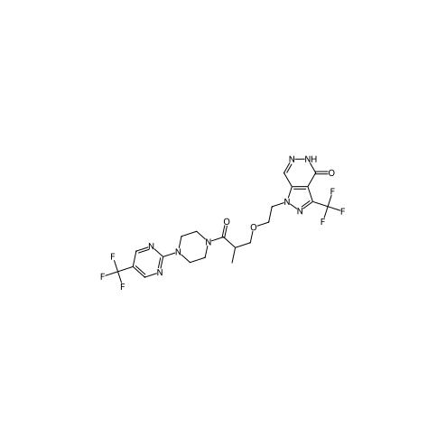 CC(COCCn1nc(C(F)(F)F)c2c(=O)[nH]ncc21)C(=O)N1CCN(c2ncc(C(F)(F)F)cn2)CC1